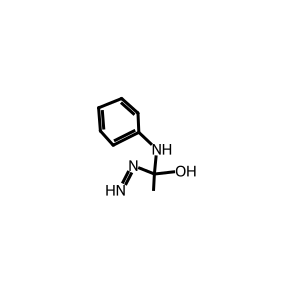 CC(O)(N=N)Nc1ccccc1